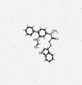 CN(C(=O)CCc1c[nH]c2ccccc12)c1ccc(-c2ccccc2)c(NC=O)c1